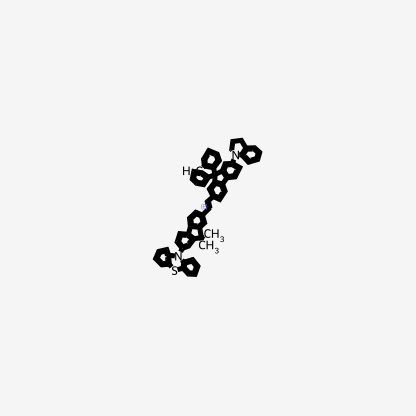 Cc1ccccc1C1(c2ccccc2)c2cc(/C=C/c3ccc4c(c3)C(C)(C)c3cc(N5c6ccccc6Sc6ccccc65)ccc3-4)ccc2-c2ccc(N3CCCc4ccccc43)cc21